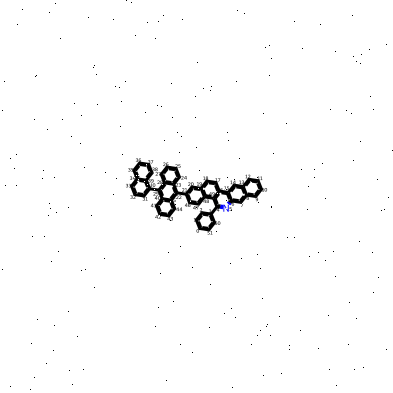 c1ccc(-c2nc3cc4ccccc4cc3c3ccc4cc(-c5c6ccccc6c(-c6cccc7ccccc67)c6ccccc56)ccc4c23)cc1